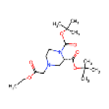 CCOC(=O)CN1CCN(C(=O)OC(C)(C)C)[C@H](C(=O)OC(C)(C)C)C1